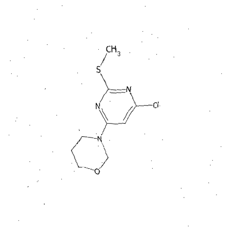 CSc1nc(Cl)cc(N2CCCOC2)n1